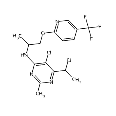 Cc1nc(NC(C)COc2ccc(C(F)(F)F)cn2)c(Cl)c(C(C)Cl)n1